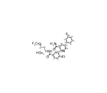 CCc1ccc(C(=O)N[C@H](CO)CCOC(F)(F)F)cc1-c1ncc(-c2cccc(F)c2)cc1C(N)=O